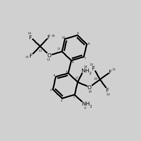 NC1C=CC=C(c2ccccc2OC(F)(F)F)C1(N)OC(F)(F)F